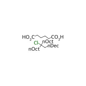 CCCCCCCCCCCC(Cl)(CCCCCCCC)CCCCCCCC.O=C(O)CCCCC(=O)O